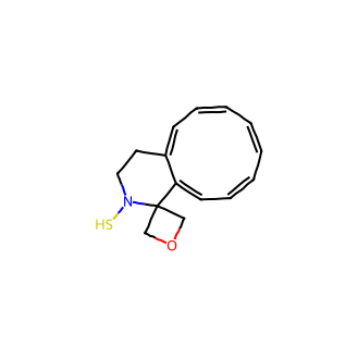 SN1CCc2ccccccccc2C12COC2